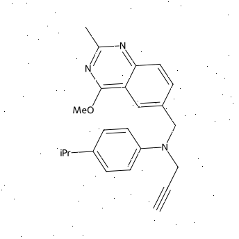 C#CCN(Cc1ccc2nc(C)nc(OC)c2c1)c1ccc(C(C)C)cc1